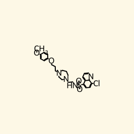 COc1ccc(OCCCN2CCCN(CCNS(=O)(=O)c3ccc(Cl)c4ncccc34)CC2)cc1